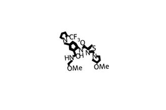 COCCNC(=O)c1cc(CN2CCC[C@H]2C(F)(F)F)ccc1NC(=O)c1csc(N2CC[C@H](OC)C2)n1